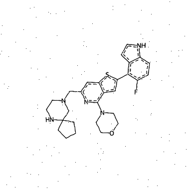 Fc1ccc2[nH]ccc2c1-c1cc2c(N3CCOCC3)nc(CN3CCNC4(CCCC4)C3)cc2s1